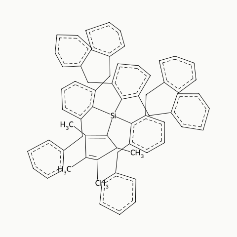 CC1=C(C)C(C)C([Si](c2c(Cc3ccccc3)cccc2Cc2ccccc2)(c2c(Cc3ccccc3)cccc2Cc2ccccc2)c2c(Cc3ccccc3)cccc2Cc2ccccc2)=C1C